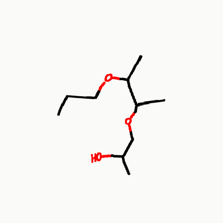 CCCOC(C)C(C)OCC(C)O